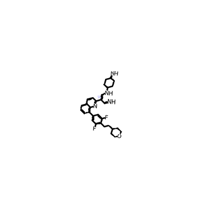 N=C/C(=C\NC1CCC(=N)CC1)c1ccc2cccc(-c3cc(F)c(CCC4CCOCC4)c(F)c3)c2n1